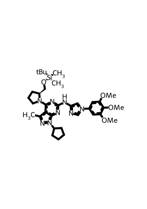 COc1cc(-n2cnc(Nc3nc(N4CCC[C@H]4CO[Si](C)(C)C(C)(C)C)c4c(C)nn(C5CCCC5)c4n3)c2)cc(OC)c1OC